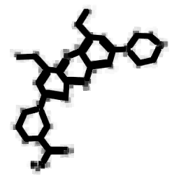 CCc1cc(N2CCOCC2)cc2[s+]c3cc(N4CCCC(C(N)=O)C4)cc(CC)c3nc12